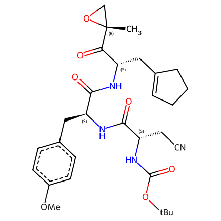 COc1ccc(C[C@H](NC(=O)[C@H](CC#N)NC(=O)OC(C)(C)C)C(=O)N[C@@H](CC2=CCCC2)C(=O)[C@@]2(C)CO2)cc1